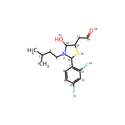 CC(C)CCN1C(c2ccc(F)cc2F)SC(CC=O)C1O